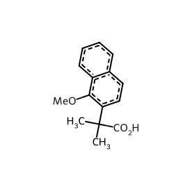 COc1c(C(C)(C)C(=O)O)ccc2ccccc12